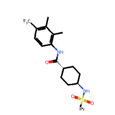 Cc1c(NC(=O)[C@H]2CC[C@H](NS(=O)(=O)C(C)C)CC2)ccc(C(F)(F)F)c1C